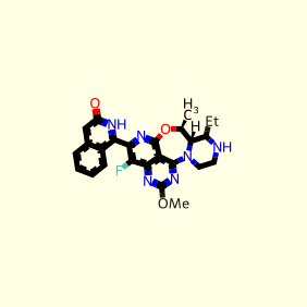 CCC1NCCN2c3nc(OC)nc4c(F)c(-c5[nH]c(=O)cc6ccccc56)nc(c34)O[C@@H](C)[C@H]12